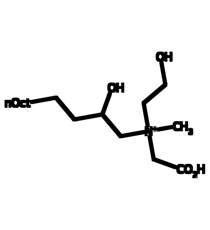 CCCCCCCCCCC(O)C[N+](C)(CCO)CC(=O)O